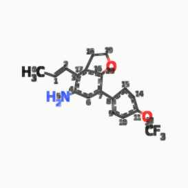 C/C=C/c1c(N)cc(-c2ccc(OC(F)(F)F)cc2)c2c1CCO2